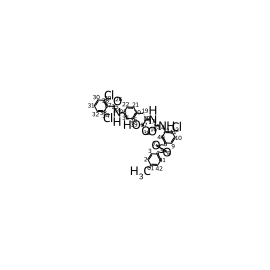 Cc1ccc(S(=O)(=O)c2ccc(Cl)c(NC(=O)N[C@@H](Cc3ccc(NC(=O)c4c(Cl)cccc4Cl)cc3)C(=O)O)c2)cc1